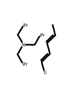 CC(C)[CH2][Al]([CH2]C(C)C)[CH2]C(C)C.CC=CC=[CH][Ti]